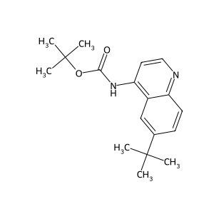 CC(C)(C)OC(=O)Nc1ccnc2ccc(C(C)(C)C)cc12